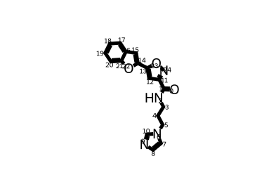 O=C(NCCCn1ccnc1)c1cc(-c2cc3ccccc3o2)on1